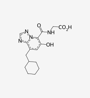 O=C(O)CNC(=O)c1c(O)cc(CC2CCCCC2)c2ncnn12